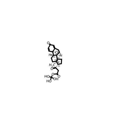 C[C@]12CC[C@H]3[C@@H](CCC4=CC(=O)C=C[C@@]43C)[C@@H]1CC[C@@H]2C(=O)CC(=O)OC(O)(O)O